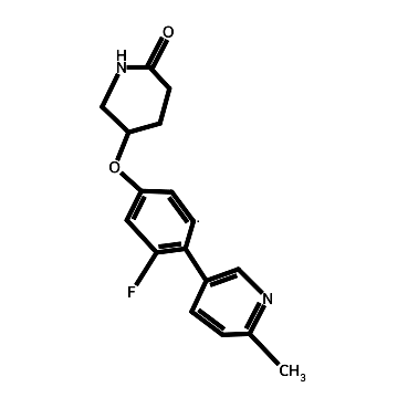 Cc1ccc(-c2[c]cc(OC3CCC(=O)NC3)cc2F)cn1